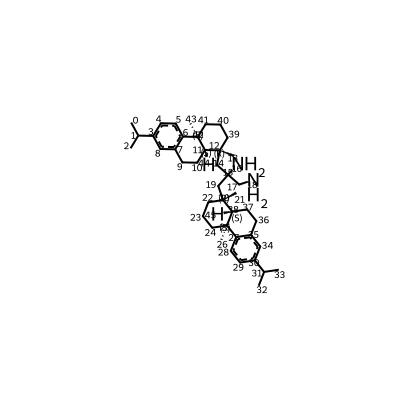 CC(C)c1ccc2c(c1)CC[C@H]1[C@@](C)(CC(N)(CN)C[C@@]3(C)CCC[C@]4(C)c5ccc(C(C)C)cc5CC[C@@H]34)CCC[C@]21C